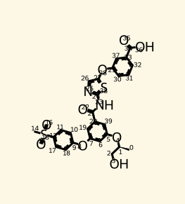 C[C@@H](CO)Oc1cc(Oc2ccc(S(C)(=O)=O)cc2)cc(C(=O)Nc2ncc(Oc3cccc(C(=O)O)c3)s2)c1